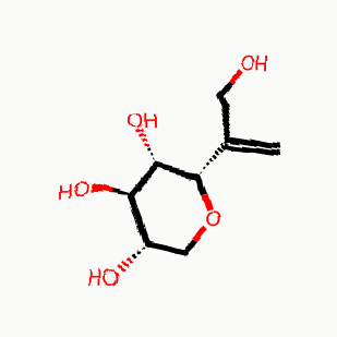 C=C(CO)[C@@H]1OC[C@H](O)[C@@H](O)[C@@H]1O